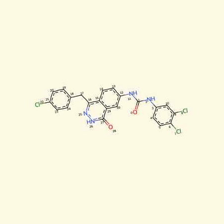 O=C(Nc1ccc(Cl)c(Cl)c1)Nc1ccc2c(Cc3ccc(Cl)cc3)n[nH]c(=O)c2c1